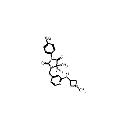 CN1CC(Nc2cc(CN3C(=O)N(c4ccc(C(C)(C)C)cc4)C(=O)C3(C)C)ccn2)C1